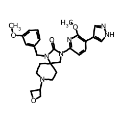 COc1cccc(CN2C(=O)N(c3ccc(-c4cn[nH]c4)c(OC)n3)CC23CCN(C2COC2)CC3)c1